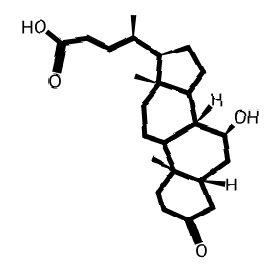 C[C@H](CCC(=O)O)[C@H]1CCC2[C@H]3C(CC[C@@]21C)[C@@]1(C)CCC(=O)C[C@H]1C[C@@H]3O